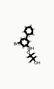 CC(C)(O)C(C)(C)OBc1cc(Br)cc(-c2ccccc2)c1